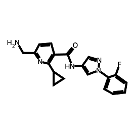 NCc1ccc(C(=O)Nc2cnn(-c3ccccc3F)c2)c(C2CC2)n1